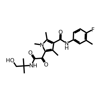 Cc1cc(NC(=O)c2c(C)c(C(=O)C(=O)NC(C)(C)CO)n(C)c2C)ccc1F